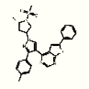 C[C@H]1CC(n2cc(-c3ncnc4oc(-c5ccccc5)cc34)c(-c3ccc(F)cc3)n2)CN1S(C)(=O)=O